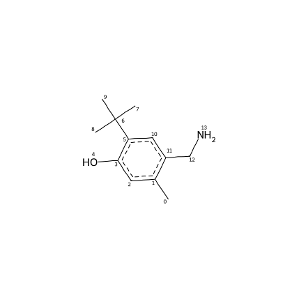 Cc1cc(O)c(C(C)(C)C)cc1CN